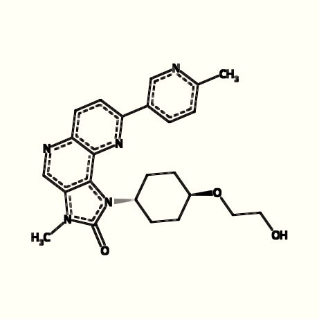 Cc1ccc(-c2ccc3ncc4c(c3n2)n([C@H]2CC[C@H](OCCO)CC2)c(=O)n4C)cn1